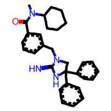 CN(C(=O)c1cccc(CN2CC(c3ccccc3)(c3ccccc3)NC2=N)c1)C1CCCCC1